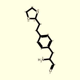 NC(C=O)Cc1ccc(CCC2OCCO2)cc1